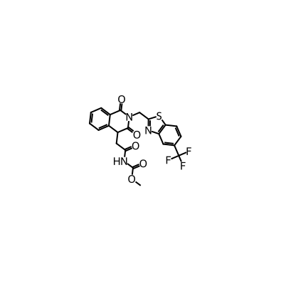 COC(=O)NC(=O)CC1C(=O)N(Cc2nc3cc(C(F)(F)F)ccc3s2)C(=O)c2ccccc21